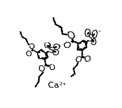 CCCCOC(=O)c1cc(C(=O)OCCCC)cc(S(=O)(=O)[O-])c1.CCCCOC(=O)c1cc(C(=O)OCCCC)cc(S(=O)(=O)[O-])c1.[Ca+2]